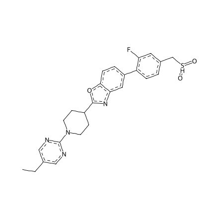 CCc1cnc(N2CCC(c3nc4cc(-c5ccc(C[SH](=O)=O)cc5F)ccc4o3)CC2)nc1